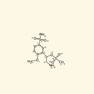 COc1ccc(S(N)(=O)=O)cc1C(CN)OS(C)(=O)=O